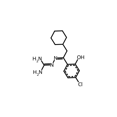 NC(N)=NN=C(CC1CCCCC1)c1ccc(Cl)cc1O